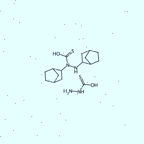 NNC(O)=S.OC(=S)N(NC1CC2CCC1C2)C1CC2CCC1C2